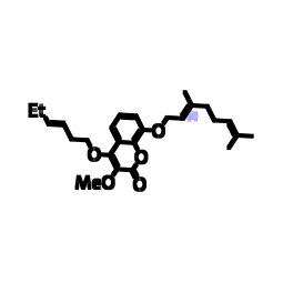 CCC=CCCOc1c(OC)c(=O)oc2c(OC/C=C(\C)CCC=C(C)C)cccc12